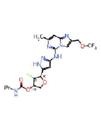 Cc1cc2nc(COC(F)(F)F)cn2c(Nc2cc([C@H]3OC[C@@H](OC(=O)NC(C)C)[C@H]3F)[nH]n2)n1